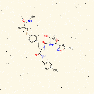 Cc1ccc(CNC(=O)[C@H](CCc2ccc(S/C=C(\C#N)C(=O)NC(C)(C)C)cc2)NC(=O)[C@@H](NC(=O)c2cc(C)on2)[C@@H](C)O)cc1